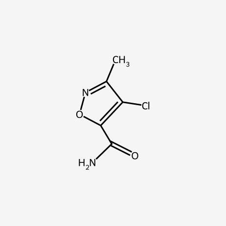 Cc1noc(C(N)=O)c1Cl